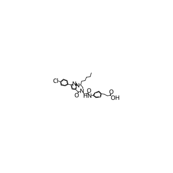 CCCCCC1CN(CC(=O)Nc2ccc(CCC(=O)O)cc2)C(=O)c2cc(-c3ccc(Cl)cc3)nn21